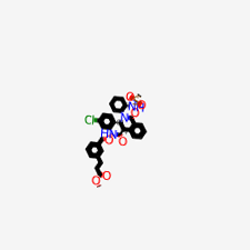 COC(=O)CCc1cccc(CONC(=O)[C@@H]2c3ccccc3C(=O)N(C3CCCC[C@@H]3NS(C)(=O)=O)[C@H]2c2ccc(Cl)cc2)c1